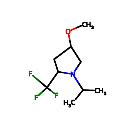 COC1CC(C(F)(F)F)N(C(C)C)C1